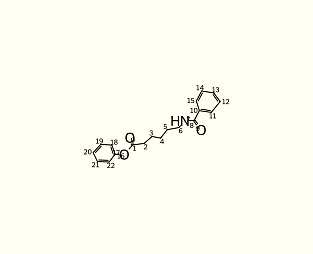 O=C(CCCCCNC(=O)c1ccccc1)Oc1ccccc1